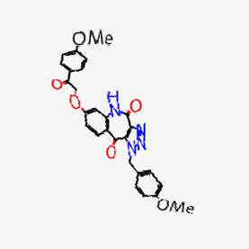 COc1ccc(Cn2nnc3c(=O)[nH]c4cc(OCC(=O)c5ccc(OC)cc5)ccc4c(=O)c32)cc1